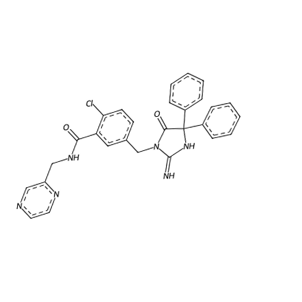 N=C1NC(c2ccccc2)(c2ccccc2)C(=O)N1Cc1ccc(Cl)c(C(=O)NCc2cnccn2)c1